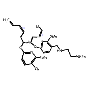 C=C/C=C\CC(Oc1ccc(C#N)c(OC)n1)[C@@H](C/C=C\CC)Oc1ccc(CNCCNC(C)=O)c(OC)n1